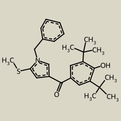 CSc1cc(C(=O)c2cc(C(C)(C)C)c(O)c(C(C)(C)C)c2)cn1Cc1ccccc1